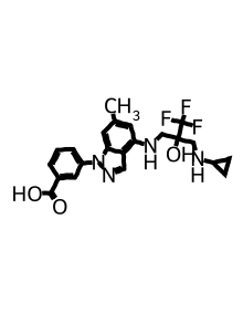 Cc1cc(NCC(O)(CNC2CC2)C(F)(F)F)c2cnn(-c3cccc(C(=O)O)c3)c2c1